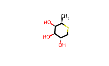 C[C@H]1S[CH][C@H](O)[C@@H](O)[C@H]1O